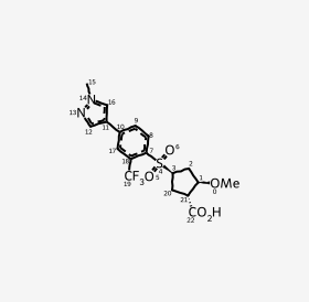 CO[C@@H]1C[C@H](S(=O)(=O)c2ccc(-c3cnn(C)c3)cc2C(F)(F)F)C[C@H]1C(=O)O